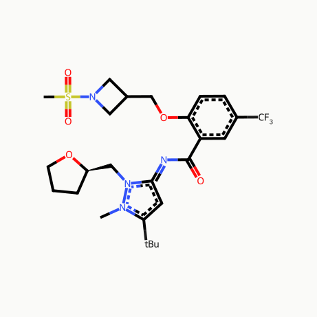 Cn1c(C(C)(C)C)cc(=NC(=O)c2cc(C(F)(F)F)ccc2OCC2CN(S(C)(=O)=O)C2)n1C[C@H]1CCCO1